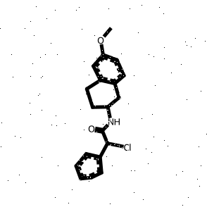 COc1ccc2c(c1)CCC(NC(=O)C(Cl)c1ccccc1)C2